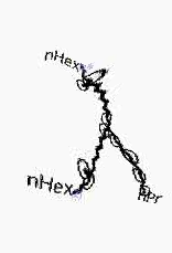 CCCCCC/C=C\COC(=O)CCCCCCCOCC(COCCOCCOCCOCCC)OCCCCCCCC(=O)OC/C=C\CCCCCC